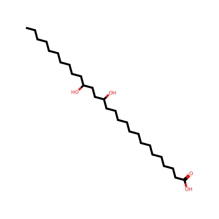 CCCCCCCCCCC(O)CCC(O)CCCCCCCCCCCCCC(=O)O